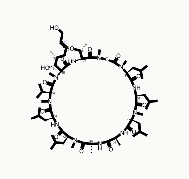 CC(C)C[C@@H]1NC(=O)[C@H](CC(C)C)N(C)C(=O)[C@@H](C)NC(=O)[C@H](C)NC(=O)[C@H](CC(C)C)N(C)C(=O)[C@H](CC(C)C)NC(=O)[C@H](CC(C)C)N(C)C(=O)CN(C)C(=O)[C@H]([C@@H](C)O)NC(=O)[C@H]([C@H](O)[C@H](C)C/C=C/CO)N(C)C(=O)[C@H](C(C)C)N(C)C1=O